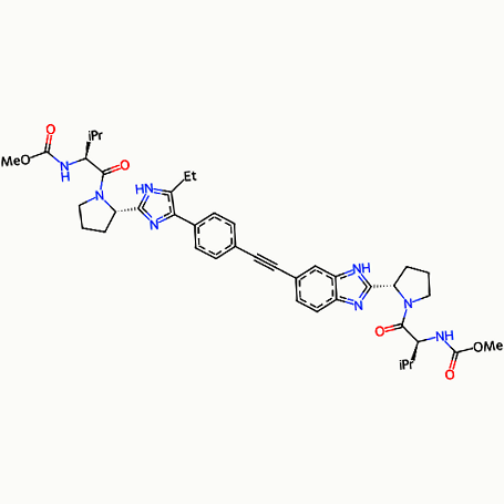 CCc1[nH]c([C@@H]2CCCN2C(=O)[C@@H](NC(=O)OC)C(C)C)nc1-c1ccc(C#Cc2ccc3nc([C@@H]4CCCN4C(=O)[C@@H](NC(=O)OC)C(C)C)[nH]c3c2)cc1